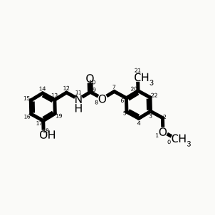 COCc1ccc(COC(=O)NCc2cccc(O)c2)c(C)c1